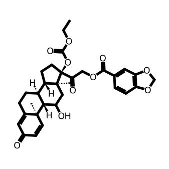 CCOC(=O)O[C@]1(C(=O)COC(=O)c2ccc3c(c2)OCO3)CC[C@H]2[C@@H]3CCC4=CC(=O)C=C[C@]4(C)[C@H]3C(O)C[C@@]21C